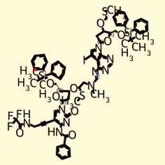 CSCOC1C[C@H](n2cc(I)c3c(/N=C/N(C)CC(OC4C[C@H](n5cc(C#CCNC(=O)C(F)(F)F)c(NC(=O)c6ccccc6)nc5=O)O[C@@H]4CO[Si](c4ccccc4)(c4ccccc4)C(C)(C)C)SC)ncnc32)O[C@@H]1CO[Si](c1ccccc1)(c1ccccc1)C(C)(C)C